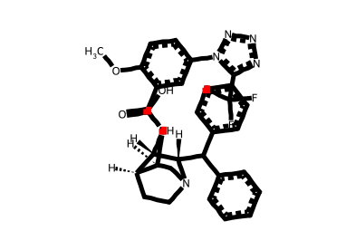 COc1ccc(-n2nnnc2C(F)(F)F)cc1CN[C@H]1[C@@H]2CCN(C[C@@H]2OC(=O)O)[C@H]1C(c1ccccc1)c1ccccc1